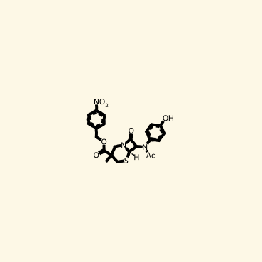 CC(=O)N(c1ccc(O)cc1)C1C(=O)N2CC(C)(C(=O)OCc3ccc([N+](=O)[O-])cc3)CS[C@H]12